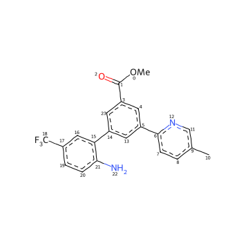 COC(=O)c1cc(-c2ccc(C)cn2)cc(-c2cc(C(F)(F)F)ccc2N)c1